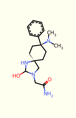 CN(C)[C@]1(c2ccccc2)CC[C@]2(CC1)CN(CC(N)=O)C(O)N2